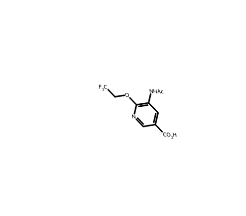 CC(=O)Nc1cc(C(=O)O)cnc1OCC(F)(F)F